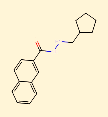 O=C(NNCC1CCCC1)c1ccc2ccccc2c1